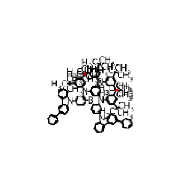 CC(C)(C)c1cc(N(c2cc(C(C)(C)C)cc(C(C)(C)C)c2)c2cc3c4c(c2)N(c2cc(C(C)(C)C)cc(C(C)(C)C)c2)c2cc(-n5c6ccccc6c6cc(-c7ccccc7)ccc65)ccc2B4c2ccc(-n4c5ccccc5c5cc(-c6ccccc6)ccc54)cc2N3c2cc(C(C)(C)C)cc(C(C)(C)C)c2)cc(C(C)(C)C)c1